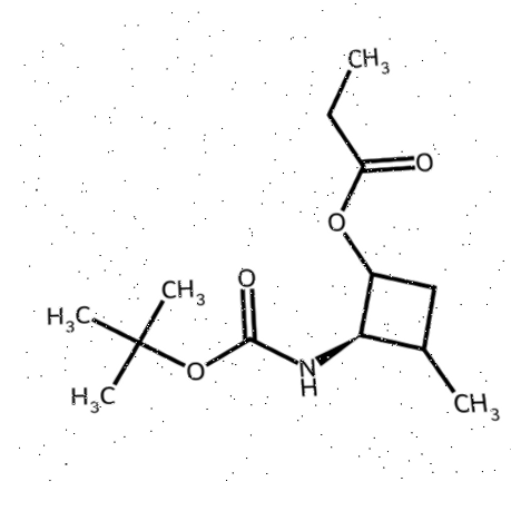 CCC(=O)OC1CC(C)[C@H]1NC(=O)OC(C)(C)C